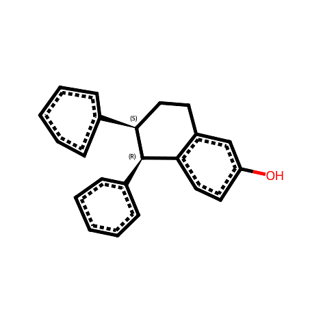 Oc1ccc2c(c1)CC[C@H](c1ccccc1)[C@@H]2c1ccccc1